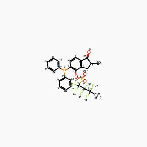 CC(C)C1Cc2c(ccc(P(c3ccccc3)c3ccccc3)c2OS(=O)(=O)C(F)(F)C(F)(F)C(F)(F)C(F)(F)F)C1=O